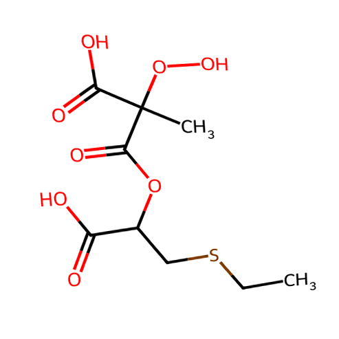 CCSCC(OC(=O)C(C)(OO)C(=O)O)C(=O)O